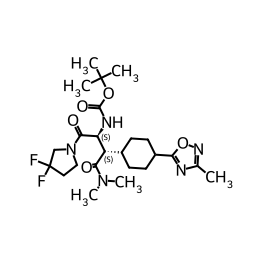 Cc1noc(C2CCC([C@H](C(=O)N(C)C)[C@H](NC(=O)OC(C)(C)C)C(=O)N3CCC(F)(F)C3)CC2)n1